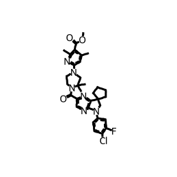 COC(=O)c1c(C)cc(N2CCN(C(=O)c3cnc4c(n3)C3(CCCC3)CN4c3ccc(Cl)c(F)c3)C(C)(C)C2)nc1C